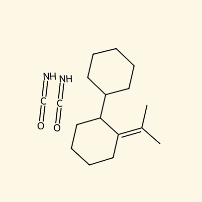 CC(C)=C1CCCCC1C1CCCCC1.N=C=O.N=C=O